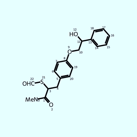 CNC(=O)C(Cc1ccc(OCC(O)c2ccccc2)cc1)SC=O